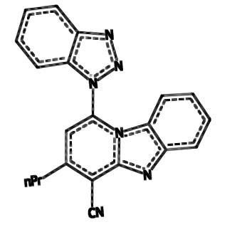 CCCc1cc(-n2nnc3ccccc32)n2c(nc3ccccc32)c1C#N